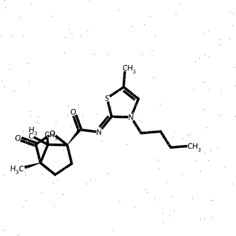 CCCCn1cc(C)sc1=NC(=O)[C@]12CC[C@](C)(C(=O)O1)C2(C)C